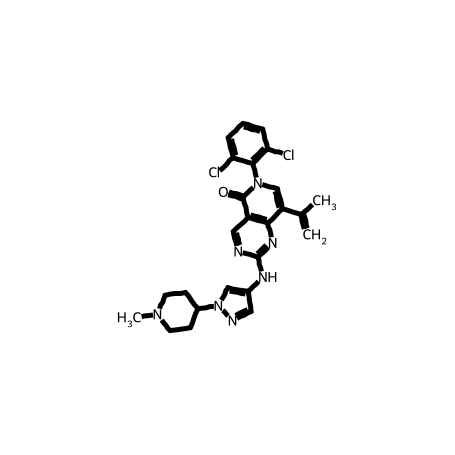 C=C(C)c1cn(-c2c(Cl)cccc2Cl)c(=O)c2cnc(Nc3cnn(C4CCN(C)CC4)c3)nc12